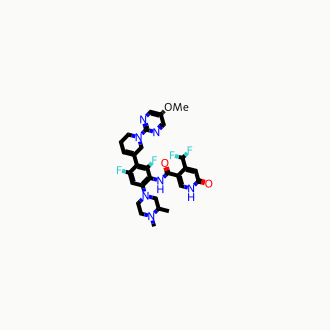 COc1cnc(N2CCC=C(c3c(F)cc(N4CCN(C)C(C)C4)c(NC(=O)c4c[nH]c(=O)cc4C(F)F)c3F)C2)nc1